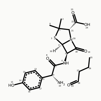 CC1(C)S[C@@H]2[C@H](NC(=O)[C@H](N)c3ccc(O)cc3)C(=O)N2[C@H]1C(=O)O.CCCC=O